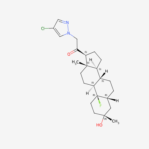 C[C@@]1(O)CC[C@@]2(F)[C@H](CC[C@H]3[C@@H]4CC[C@H](C(=O)Cn5cc(Cl)cn5)[C@@]4(C)CC[C@@H]32)C1